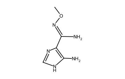 CON=C(N)c1nc[nH]c1N